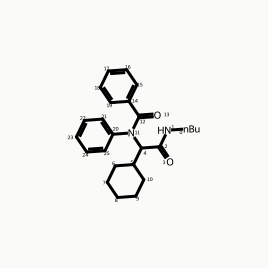 CCCCNC(=O)C(C1CCCCC1)N(C(=O)c1ccccc1)c1ccccc1